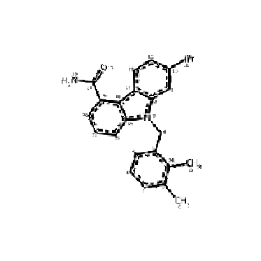 Cc1cccc(Cn2c3cc(C(C)C)c[c]c3c3c(C(N)=O)cccc32)c1C